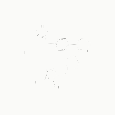 Cc1c(CN2CCN(c3nccnc3-c3ccc(Cn4ccnc4)cc3)CC2)cnn1C.Cl